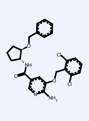 Nc1ncc(C(=O)N[C@@H]2CCC[C@H]2OCc2ccccc2)cc1OCc1c(Cl)cccc1Cl